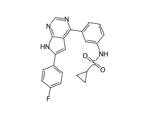 O=S(=O)(Nc1cccc(-c2ncnc3[nH]c(-c4ccc(F)cc4)cc23)c1)C1CC1